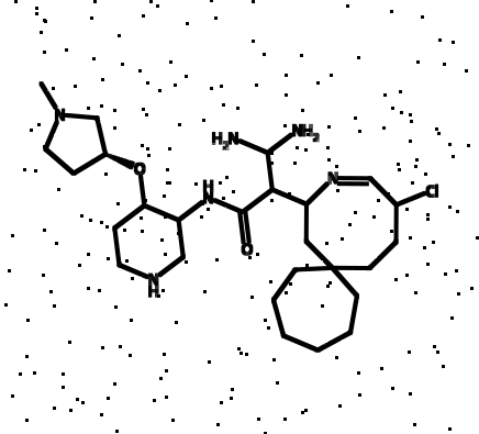 CN1CC[C@H](OC2CCNCC2NC(=O)C(C(N)N)C2CC3(CCCCCC3)CCC(Cl)/C=N\2)C1